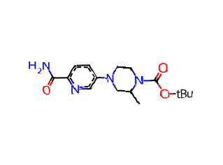 CC1CN(c2ccc(C(N)=O)nc2)CCN1C(=O)OC(C)(C)C